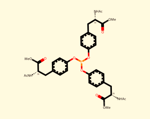 COC(=O)[C@H](Cc1ccc(OP(Oc2ccc(C[C@H](NC(C)=O)C(=O)OC)cc2)Oc2ccc(C[C@H](NC(C)=O)C(=O)OC)cc2)cc1)NC(C)=O